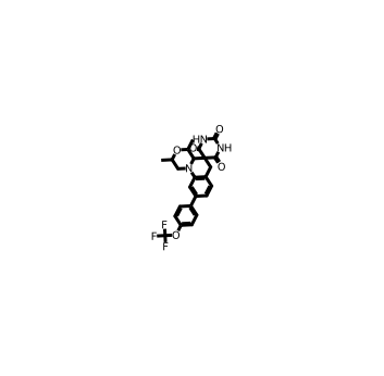 CC1CN2c3cc(-c4ccc(OC(F)(F)F)cc4)ccc3CC3(C(=O)NC(=O)NC3=O)C2C(C)O1